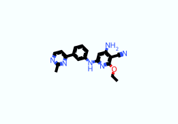 CCOc1nc(Nc2cccc(-c3ccnc(C)n3)c2)cc(N)c1C#N